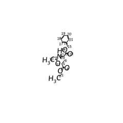 CCOC(=O)CC[C@H](NC(C)=O)C(=O)OCc1ccccc1